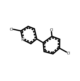 Clc1ccc(-c2ccc(Cl)nc2)c(Cl)c1